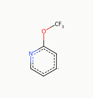 FC(F)(F)Oc1c[c]ccn1